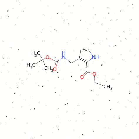 CCOC(=O)c1[nH]ccc1CNC(=O)OC(C)(C)C